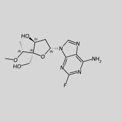 CO[C@H](C)[C@]1(CO)O[C@@H](n2cnc3c(N)nc(F)nc32)C[C@@H]1O